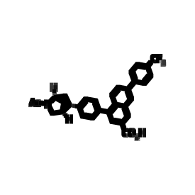 CC(=O)N1C[C@H]2C[C@@H]1C[C@@H]2c1ccc(-c2cc(C(=O)O)cc3cc(-c4ccc(C(F)(F)F)cc4)ccc23)cc1